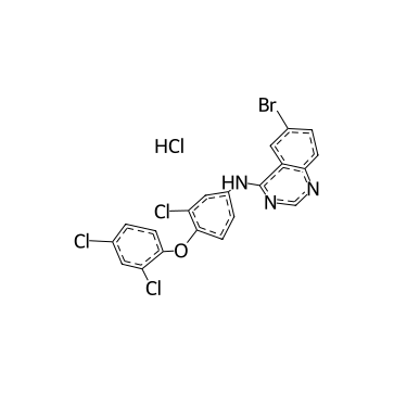 Cl.Clc1ccc(Oc2ccc(Nc3ncnc4ccc(Br)cc34)cc2Cl)c(Cl)c1